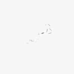 CC(C)(C)OC(=O)NC1CCC(O)(C#Cc2cc(Cl)cc3ccc(=O)oc23)CC1